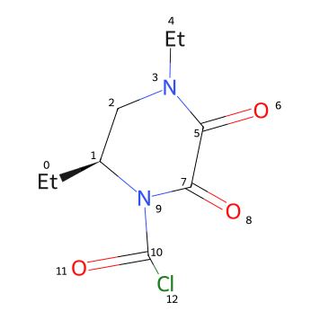 CC[C@H]1CN(CC)C(=O)C(=O)N1C(=O)Cl